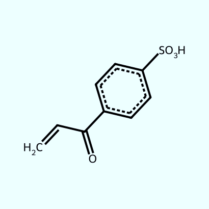 C=CC(=O)c1ccc(S(=O)(=O)O)cc1